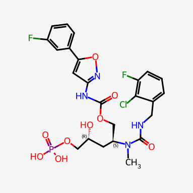 CN(C(=O)NCc1cccc(F)c1Cl)[C@H](COC(=O)Nc1cc(-c2cccc(F)c2)on1)C[C@@H](O)COP(=O)(O)O